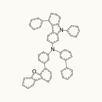 c1ccc(-c2cccc(N(c3cccc(-c4cccc5c4oc4ccccc45)c3)c3ccc4c5c(-c6ccccc6)cccc5n(-c5ccccc5)c4c3)c2)cc1